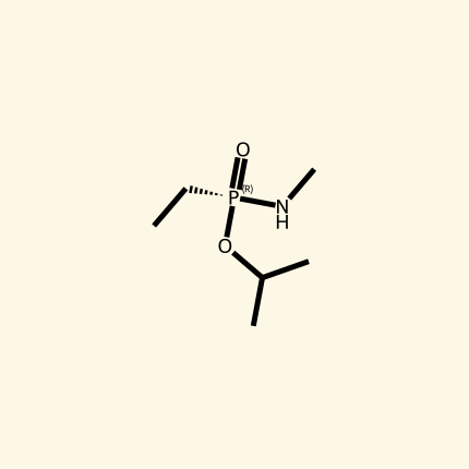 CC[P@](=O)(NC)OC(C)C